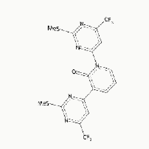 CSc1nc(-c2cccn(-c3cc(C(F)(F)F)nc(SC)n3)c2=O)cc(C(F)(F)F)n1